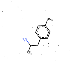 COc1ccc(CC(N)C(F)(F)F)cc1